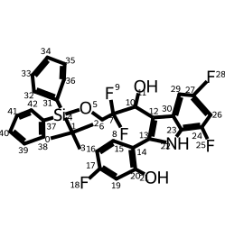 CC(C)(C)[Si](OCC(F)(F)C(O)c1c(-c2ccc(F)cc2O)[nH]c2c(F)cc(F)cc12)(c1ccccc1)c1ccccc1